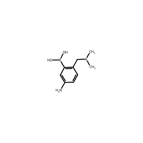 CN(C)Cc1ccc(N)cc1B(O)O